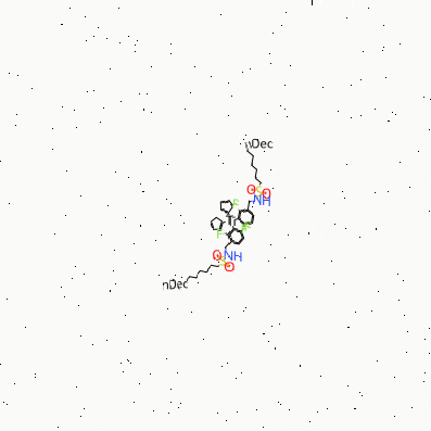 CCCCCCCCCCCCCCCCS(=O)(=O)NCc1ccc(F)[c]([Ti]([C]2=CC=CC2)([C]2=CC=CC2)[c]2c(F)ccc(CNS(=O)(=O)CCCCCCCCCCCCCCCC)c2F)c1F